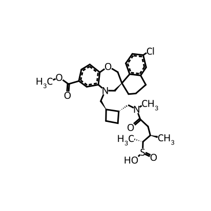 COC(=O)c1ccc2c(c1)N(C[C@@H]1CC[C@H]1CN(C)C(=O)C[C@@H](C)[C@@H](C)S(=O)O)C[C@@]1(CCCc3cc(Cl)ccc31)CO2